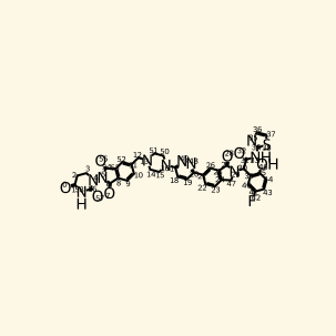 O=C1CCN(N2C(=O)c3ccc(CN4CCN(c5ccc(-c6ccc7c(c6)C(=O)N(C(C(=O)Nc6nccs6)c6cc(F)ccc6O)C7)nn5)CC4)cc3C2=O)C(=O)N1